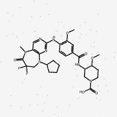 COc1cc(C(=O)NC2CN(C(=O)O)CCC2OC)ccc1Nc1ncc2c(n1)N(C1CCCC1)CC(F)(F)C(=O)N2C